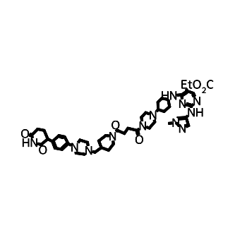 CCOC(=O)c1cnc(Nc2cnn(C)c2)nc1NC1CCC(N2CCN(C(=O)CCC(=O)N3CCC(CN4CCN(c5ccc(C6CCC(=O)NC6=O)cc5)CC4)CC3)CC2)CC1